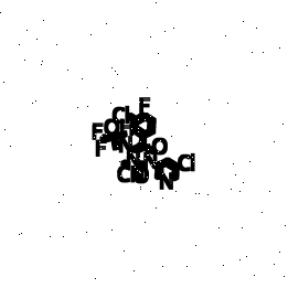 N#CCn1c(N2CC(O)(C(F)F)C2)c(-c2ccc(F)c(Cl)c2)c(=O)n(-c2cncc(Cl)c2)c1=O